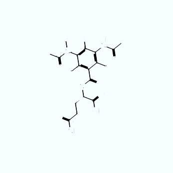 CC(=O)Nc1c(I)c(C(=O)N[C@H](CCC(N)=O)C(=O)O)c(I)c(N(C)C(C)=O)c1I